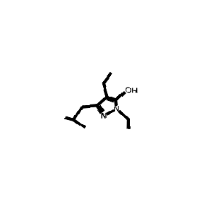 CCc1c(CC(C)C)nn(CC)c1O